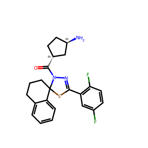 N[C@@H]1CC[C@@H](C(=O)N2N=C(c3cc(F)ccc3F)SC23CCCc2ccccc23)C1